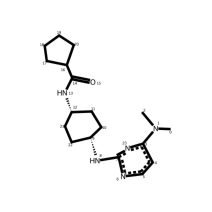 CN(C)c1ccnc(N[C@H]2CC[C@@H](NC(=O)C3CCCC3)CC2)n1